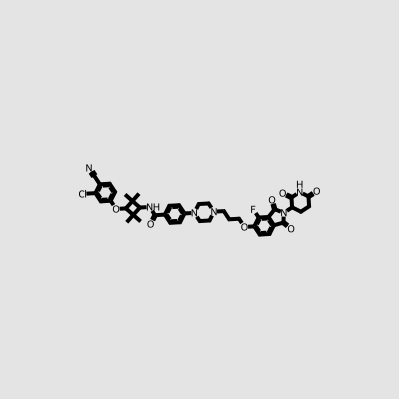 CC1(C)C(NC(=O)c2ccc(N3CCN(CCCOc4ccc5c(c4F)C(=O)N(C4CCC(=O)NC4=O)C5=O)CC3)cc2)C(C)(C)C1Oc1ccc(C#N)c(Cl)c1